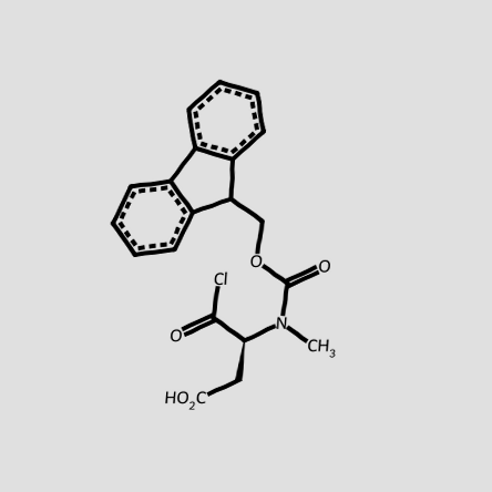 CN(C(=O)OCC1c2ccccc2-c2ccccc21)[C@@H](CC(=O)O)C(=O)Cl